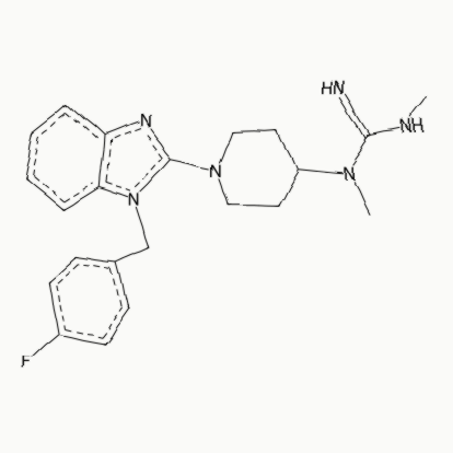 CNC(=N)N(C)C1CCN(c2nc3ccccc3n2Cc2ccc(F)cc2)CC1